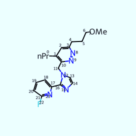 CCCc1cc(CCCOC)nnc1Cn1ccnc1-c1cccc(F)n1